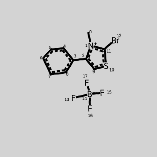 C[n+]1c(-c2ccccc2)csc1Br.F[B-](F)(F)F